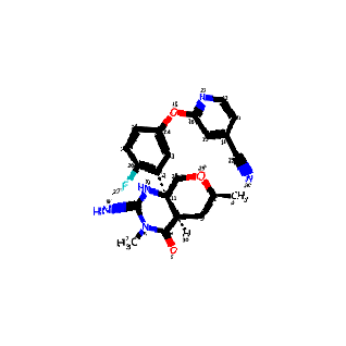 C[C@H]1C[C@H]2C(=O)N(C)C(=N)N[C@@]2(c2cc(Oc3cc(C#N)ccn3)ccc2F)CO1